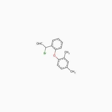 Cc1ccc(Oc2ccccc2C(Br)C=O)c(C)c1